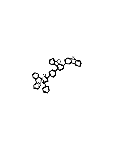 c1ccc(-c2cc(-c3ccc(-c4ccc(-c5ccc6sc7ccccc7c6c5)c5oc6ccccc6c45)cc3)nc(-c3ccccc3-c3ccccn3)n2)cc1